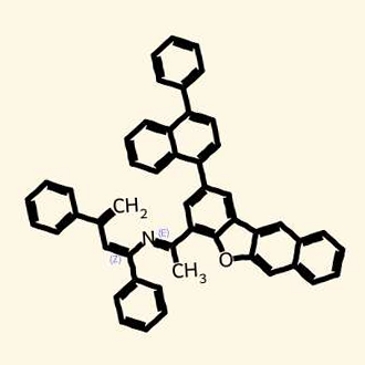 C=C(/C=C(\N=C(/C)c1cc(-c2ccc(-c3ccccc3)c3ccccc23)cc2c1oc1cc3ccccc3cc12)c1ccccc1)c1ccccc1